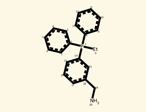 CC[P](c1ccccc1)(c1ccccc1)c1cccc(CN)c1